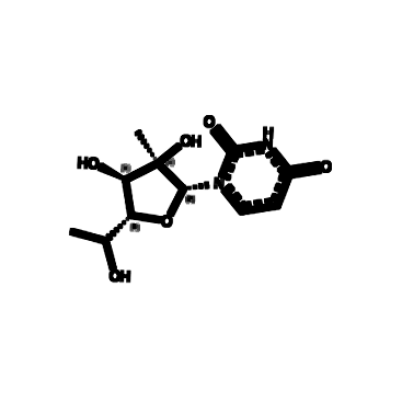 CC(O)[C@H]1O[C@@H](n2ccc(=O)[nH]c2=O)[C@](C)(O)[C@@H]1O